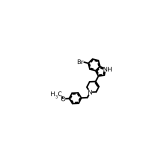 COc1ccc(CN2CC=C(c3c[nH]c4ccc(Br)cc34)CC2)cc1